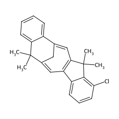 CC1(C)C2=CC3=C(C=C(C2)c2ccccc21)C(C)(C)c1c(Cl)cccc13